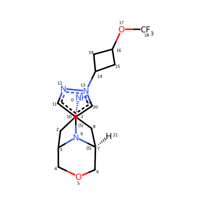 N[C@H]1CC2COC[C@H](C1)N2c1cnn(C2CC(OC(F)(F)F)C2)c1